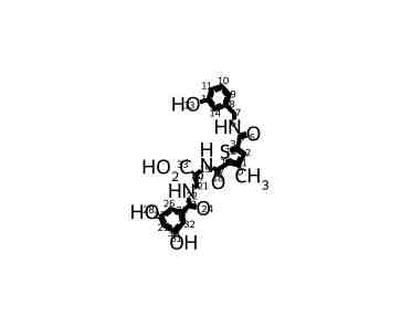 Cc1cc(C(=O)NCc2cccc(O)c2)sc1C(=O)N[C@@H](CNC(=O)c1cc(O)cc(O)c1)C(=O)O